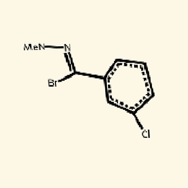 CNN=C(Br)c1cccc(Cl)c1